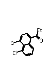 CCC(=O)c1ccc(Cl)c2c(Cl)cccc12